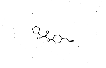 C=CCC1CCC(OC(=O)NC2CCCC2)CC1